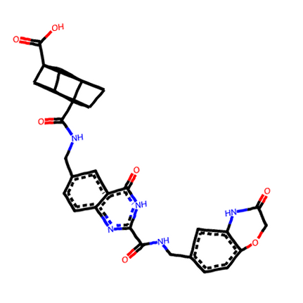 O=C1COc2ccc(CNC(=O)c3nc4ccc(CNC(=O)C56C7C8C5C5C6C7C85C(=O)O)cc4c(=O)[nH]3)cc2N1